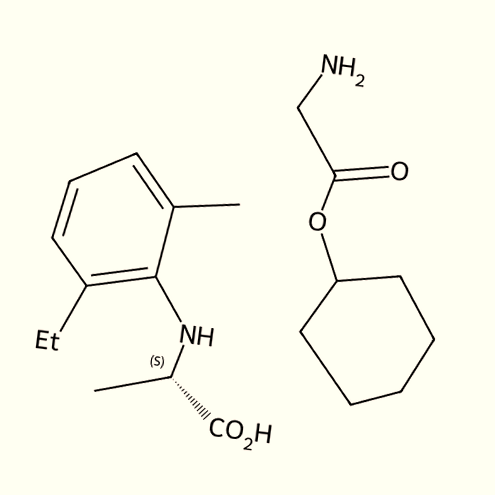 CCc1cccc(C)c1N[C@@H](C)C(=O)O.NCC(=O)OC1CCCCC1